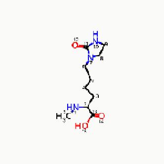 CN[C@@H](CCCCN1CCNC1=O)C(=O)O